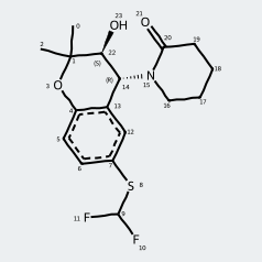 CC1(C)Oc2ccc(SC(F)F)cc2[C@@H](N2CCCCC2=O)[C@@H]1O